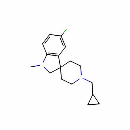 CN1CC2(CCN(CC3CC3)CC2)c2cc(Cl)ccc21